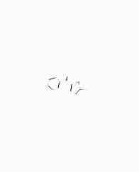 Cn1c(C(=O)c2ccc(C(F)(F)F)cc2)cc(Br)c1CC(=O)O